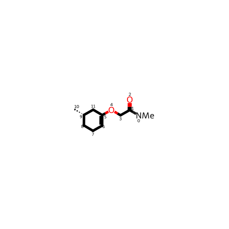 CNC(=O)COC1=CCC[C@H](C)C1